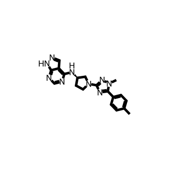 Cc1ccc(-c2nc(N3CC[C@@H](Nc4ncnc5[nH]ncc45)C3)nn2C)cc1